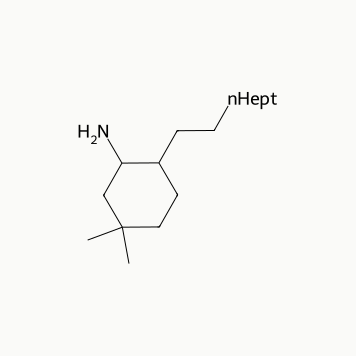 CCCCCCCCCC1CCC(C)(C)CC1N